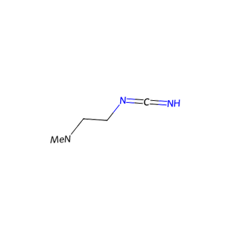 CNCCN=C=N